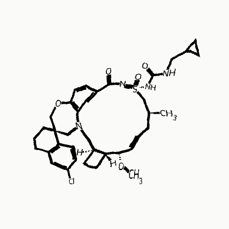 CO[C@H]1/C=C/C[C@H](C)C[S@@](=O)(NC(=O)NCC2CC2)=NC(=O)c2ccc3c(c2)N(C[C@@H]2CC[C@H]21)C[C@@]1(CCCc2cc(Cl)ccc21)CO3